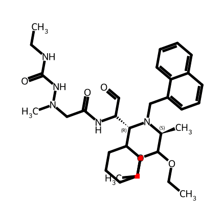 CCNC(=O)NN(C)CC(=O)NC(C=O)[C@@H](C1CCCCC1)N(Cc1cccc2ccccc12)[C@@H](C)C(OCC)OCC